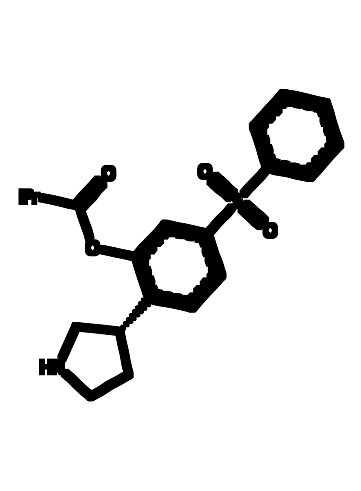 CC(C)C(=O)Oc1cc(S(=O)(=O)c2ccccc2)ccc1[C@@H]1CCNC1